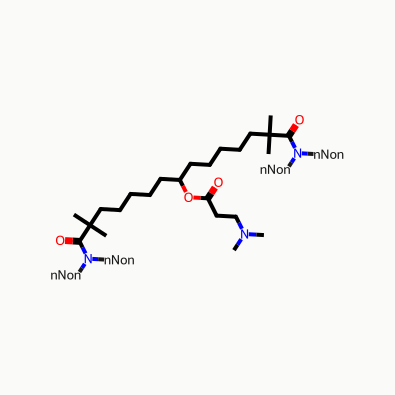 CCCCCCCCCN(CCCCCCCCC)C(=O)C(C)(C)CCCCCC(CCCCCC(C)(C)C(=O)N(CCCCCCCCC)CCCCCCCCC)OC(=O)CCN(C)C